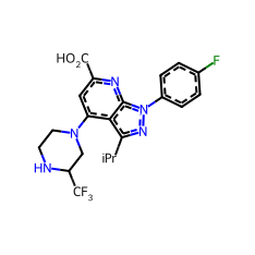 CC(C)c1nn(-c2ccc(F)cc2)c2nc(C(=O)O)cc(N3CCNC(C(F)(F)F)C3)c12